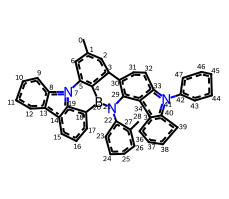 Cc1cc2c3c(c1)-n1c4ccccc4c4cccc(c41)B3N(c1ccccc1C)c1c-2ccc2c1c1ccccc1n2-c1ccccc1